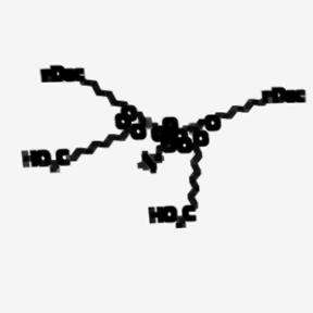 CCCCCCCCCCCCCCCCOC[C@H](COP(=O)(OCC[N+](C)(C)C)OC[C@@H](COCCCCCCCCCCCCCCCC)OC(=O)CCCCCCCC(=O)O)OC(=O)CCCCCCCC(=O)O